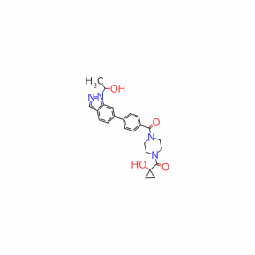 CC(O)n1ncc2ccc(-c3ccc(C(=O)N4CCN(C(=O)C5(O)CC5)CC4)cc3)cc21